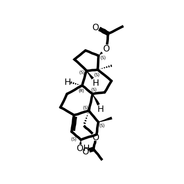 CC(=O)OC[C@@]12C(=C[C@@H](O)C[C@@H]1C)CC[C@H]1[C@@H]3CC[C@H](OC(C)=O)[C@@]3(C)CC[C@@H]12